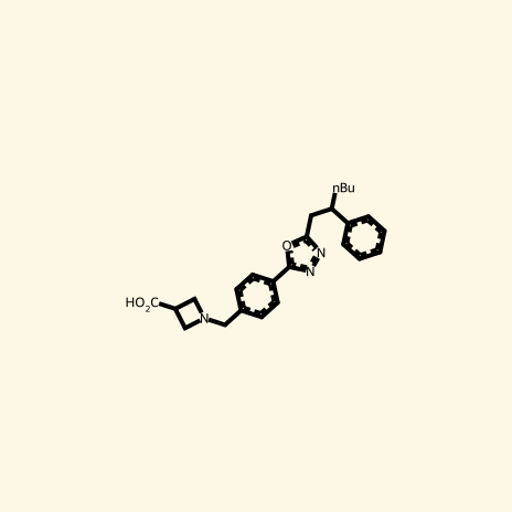 CCCCC(Cc1nnc(-c2ccc(CN3CC(C(=O)O)C3)cc2)o1)c1ccccc1